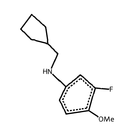 COc1ccc(NCC2CCCC2)cc1F